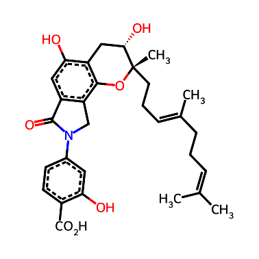 CC(C)=CCC/C(C)=C/CC[C@]1(C)Oc2c(c(O)cc3c2CN(c2ccc(C(=O)O)c(O)c2)C3=O)C[C@@H]1O